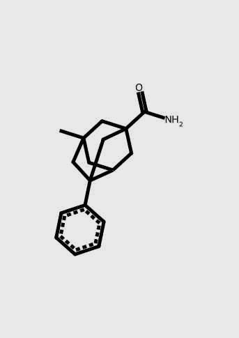 CC12CC3CC(C(N)=O)(C1)CC3(c1ccccc1)C2